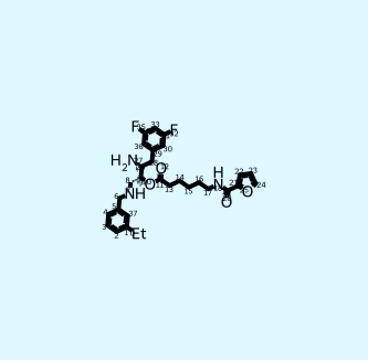 CCc1cccc(CNC[C@@H](OC(=O)CCCCCNC(=O)c2ccco2)[C@@H](N)Cc2cc(F)cc(F)c2)c1